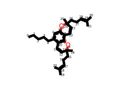 CCCCCc1cc2c(c3c1C=CC(C)(CCC=C(C)C)O3)C=CC(C)(CCC=C(C)C)O2